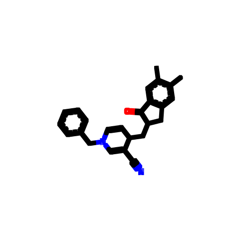 Cc1cc2c(cc1C)C(=O)C(CC1C=CN(Cc3ccccc3)C=C1C#N)C2